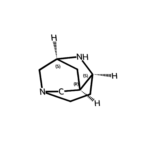 C1[C@H]2CN3CC[C@H](N2)[C@H]1C3